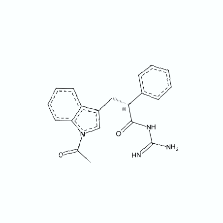 CC(=O)n1cc(C[C@@H](C(=O)NC(=N)N)c2ccccc2)c2ccccc21